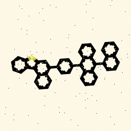 c1ccc2c(-c3c4ccccc4c(-c4ccc(-c5cc6sc7ccccc7c6c6ccccc56)cc4)c4ccccc34)cccc2c1